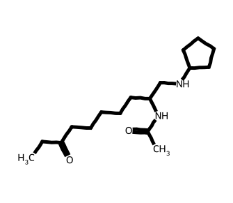 CCC(=O)CCCCCC(CNC1CCCC1)NC(C)=O